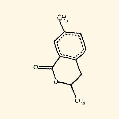 Cc1ccc2c(c1)C(=O)OC(C)C2